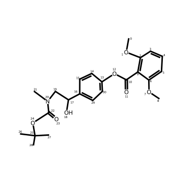 COc1cccc(OC)c1C(=O)Oc1ccc(C(O)CN(C)C(=O)OC(C)(C)C)cc1